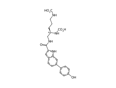 O=C(O)NCCC[C@H](CNC(=O)c1cc2ccc(-c3ccc(O)cc3)cc2[nH]1)NC(=O)O